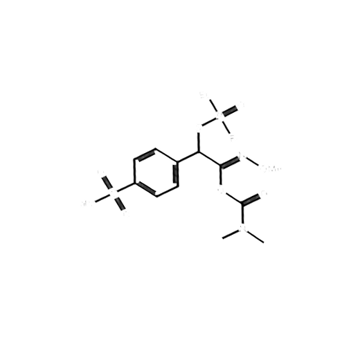 CCCS(=O)(=O)c1ccc(C(SP(=O)(CC)CC)C(=NOC)OC(=O)N(C)C)cc1